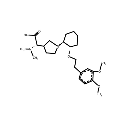 COc1ccc(CCO[C@H]2CCCC[C@@H]2N2CCC([C@@H](C(=O)O)N(C)C)C2)cc1OC